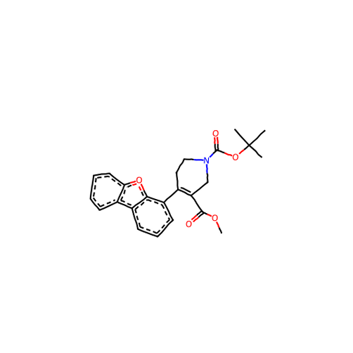 COC(=O)C1=C(c2cccc3c2oc2ccccc23)CCN(C(=O)OC(C)(C)C)C1